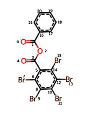 O=C(OC(=O)c1c(Br)c(Br)c(Br)c(Br)c1Br)c1ccccc1